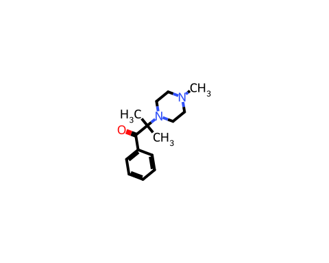 CN1CCN(C(C)(C)C(=O)c2ccccc2)CC1